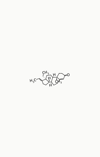 C/C=C1\CC[C@H]2[C@@H]3CCC4=CC(=O)CC[C@@]4(C)[C@@H]3CC[C@]12CC